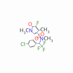 Cc1c(S(=O)(=O)N(C)[C@H](c2ccc(Cl)cc2)C(F)(F)F)cn(C)c(=O)c1F